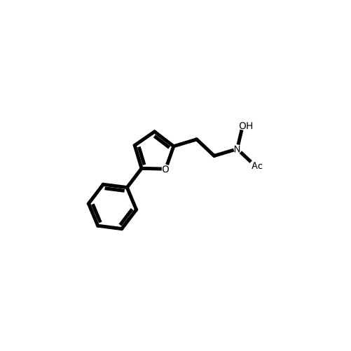 CC(=O)N(O)CCc1ccc(-c2ccccc2)o1